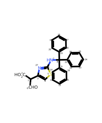 O=CC(C(=O)O)c1csc(NC(c2ccccc2)(c2ccccc2)c2ccccc2)n1